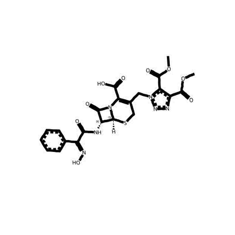 COC(=O)c1nnn(CC2=C(C(=O)O)N3C(=O)[C@@H](NC(=O)C(=NO)c4ccccc4)[C@@H]3SC2)c1C(=O)OC